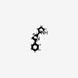 c1ccc(-c2csc(C3CCCN3)n2)cc1